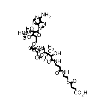 CC(C)(COP(=O)(O)OP(=O)(O)OCC1OC(n2cnc3c(N)ncnc32)C(O)C1OP(=O)(O)O)C(O)C(=O)NCCC(=O)NCCSC(=O)CCC(=O)O